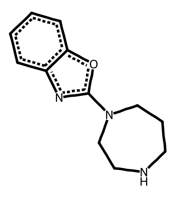 c1ccc2oc(N3CCCNCC3)nc2c1